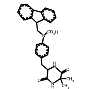 CC1(C)NC(=O)C(Cc2ccc(N(CC3c4ccccc4-c4ccccc43)C(=O)O)cc2)NC1=O